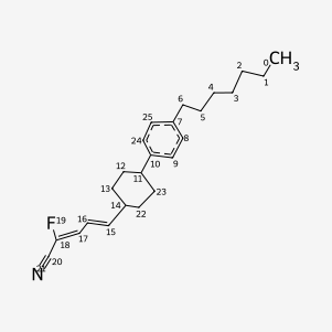 CCCCCCCc1ccc(C2CCC(C=CC=C(F)C#N)CC2)cc1